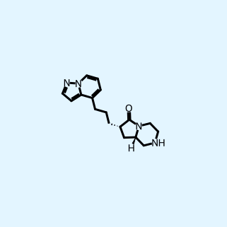 O=C1[C@@H](CCCc2cccn3nccc23)C[C@H]2CNCCN12